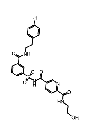 O=C(NCCc1ccc(Cl)cc1)c1cccc(S(=O)(=O)NC(=O)c2ccc(C(=O)NCCO)nc2)c1